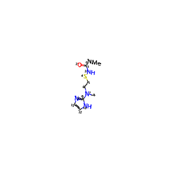 CNC(=O)NSCCN(C)c1ncc[nH]1